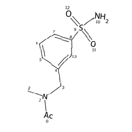 CC(=O)N(C)Cc1cccc(S(N)(=O)=O)c1